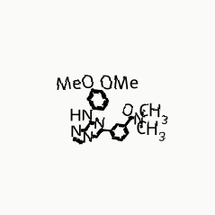 COc1ccc(Nc2nc(-c3cccc(C(=O)N(C)C)c3)cn3ccnc23)cc1OC